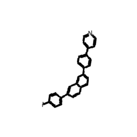 Ic1ccc(-c2ccc3ccc(-c4ccc(-c5ccncc5)cc4)cc3c2)cc1